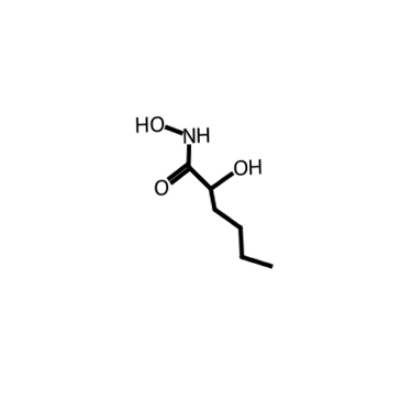 CCCCC(O)C(=O)NO